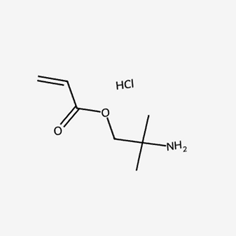 C=CC(=O)OCC(C)(C)N.Cl